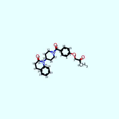 CC(=O)COc1ccc(C(=O)N2CCC(N3C(=O)CCc4ccccc43)CC2)cc1